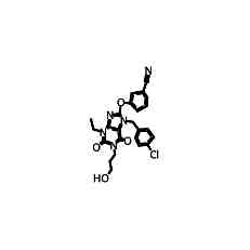 CCn1c(=O)n(CCCO)c(=O)c2c1nc(Oc1cccc(C#N)c1)n2Cc1ccc(Cl)cc1